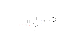 C=C1c2sc(-c3ccc(Cl)cc3)cc2CN1c1ccc(OCC(C)(C)O)c(C)c1